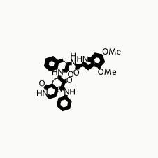 COc1cc(OC)c2cc(C(=O)N[C@@H](Cc3ccccc3)C(=O)N[C@@H](C[C@@H]3CCCNC3=O)C(=O)C(=O)NC3CCCCC3)[nH]c2c1